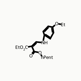 CCCCCOC(=O)C(=CNc1ccc(OCC)cc1)C(=O)OCC